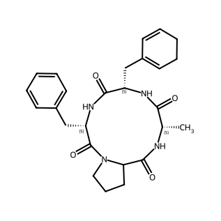 C[C@@H]1NC(=O)C2CCCN2C(=O)[C@H](Cc2ccccc2)NC(=O)[C@H](CC2=CCCC=C2)NC1=O